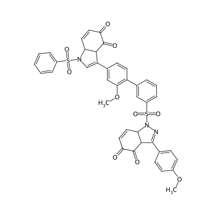 COc1ccc(C2=NN(S(=O)(=O)c3cccc(-c4ccc(C5=CN(S(=O)(=O)c6ccccc6)C6C=CC(=O)C(=O)C56)cc4OC)c3)C3C=CC(=O)C(=O)C23)cc1